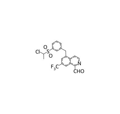 CC(Cl)S(=O)(=O)c1cccc(Cc2cc(C(F)(F)F)cc3c(C=O)nccc23)c1